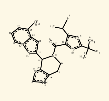 CC(C)(F)c1nc(C(F)F)c(C(=O)N2CCc3[nH]cnc3C2c2cc3c(C(F)(F)F)cccn3n2)o1